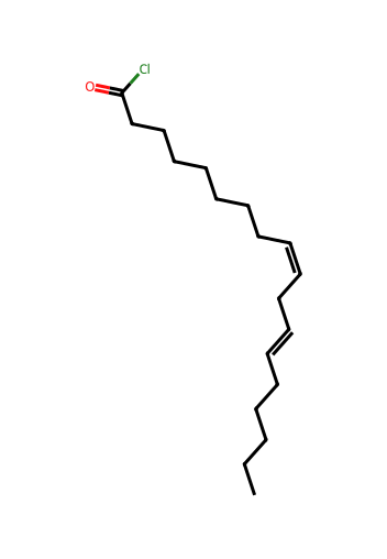 CCCCC/C=C/C/C=C\CCCCCCCC(=O)Cl